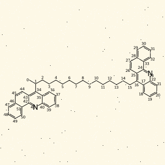 CC(CCCCCCCCCCCCCCc1c2ccccc2nc2c1ccc1ccccc12)c1c2ccccc2nc2c1ccc1ccccc12